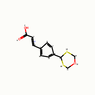 O=C(O)/C=C/c1ccc(C2SCOCS2)cc1